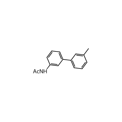 CC(=O)Nc1cccc(-c2cccc(C)c2)c1